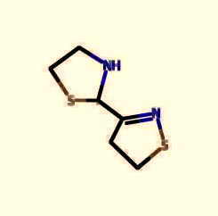 C1CS[C](C2=NSCC2)N1